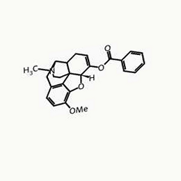 COc1ccc2c3c1O[C@H]1C(OC(=O)c4ccccc4)=CCC4C(C2)N(C)CCC341